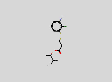 CCCCC(CC)C(CC)OC(=O)CCSc1cccc(N)c1Cl